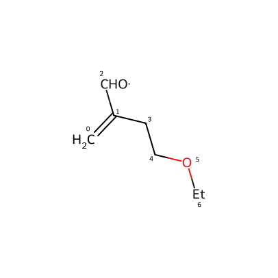 C=C([C]=O)CCOCC